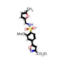 CCOC(=O)c1cc(-c2ccc(S(=O)(=O)NCc3ccc(C)o3)c(OC)c2)on1